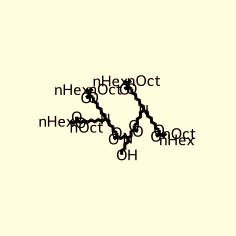 CCCCCCCCC(CCCCCC)C(=O)OCCCCCCN(CCCCCCOC(=O)C(CCCCCC)CCCCCCCC)CCCCOC(=O)CCN(CCCCO)CCC(=O)OCCCCN(CCCCCCOC(=O)C(CCCCCC)CCCCCCCC)CCCCCCOC(=O)C(CCCCCC)CCCCCCCC